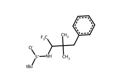 CC(C)(Cc1ccccc1)C(N[S+]([O-])C(C)(C)C)C(F)(F)F